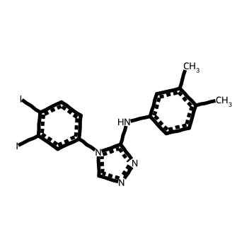 Cc1ccc(Nc2nncn2-c2ccc(I)c(I)c2)cc1C